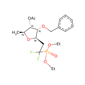 [CH2][C@@H]1O[C@H](CC(F)(F)P(=O)(OCC)OCC)[C@@H](OCc2ccccc2)[C@H]1OC(C)=O